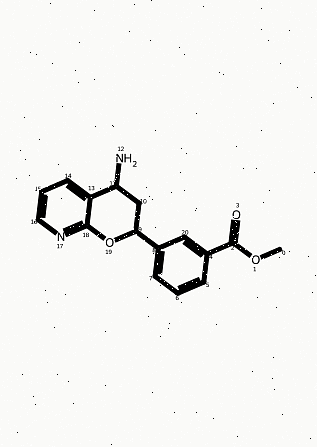 COC(=O)c1cccc(C2CC(N)c3cccnc3O2)c1